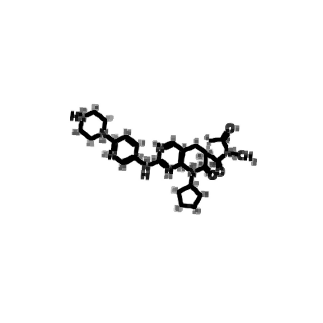 CN1C(=O)C[C@]2(Cc3cnc(Nc4ccc(N5CCNCC5)nc4)nc3N(C3CCCC3)C2=O)C1=O